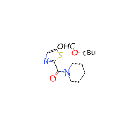 CC(C)(C)OC=O.O=C(c1nccs1)N1CCCCC1